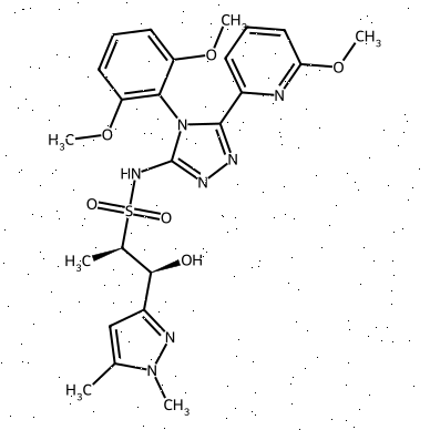 COc1cccc(-c2nnc(NS(=O)(=O)[C@H](C)[C@@H](O)c3cc(C)n(C)n3)n2-c2c(OC)cccc2OC)n1